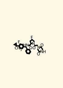 CC1(c2ccc(C(NC(=O)C3CC(F)CN3C(=O)CN3CC(=O)NCC3=O)c3ccccc3)cc2F)CC1